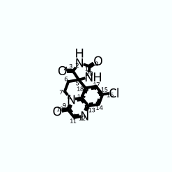 O=C1NC(=O)C2(CCn3c(=O)cnc4cc(Cl)cc2c43)N1